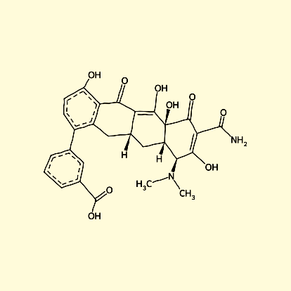 CN(C)[C@@H]1C(O)=C(C(N)=O)C(=O)[C@@]2(O)C(O)=C3C(=O)c4c(O)ccc(-c5cccc(C(=O)O)c5)c4C[C@H]3C[C@@H]12